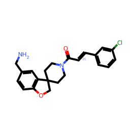 NCc1ccc2c(c1)C1(CCN(C(=O)/C=C/c3cccc(Cl)c3)CC1)CO2